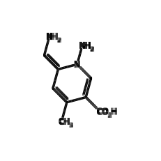 CC1=C/C(=C/N)N(N)C=C1C(=O)O